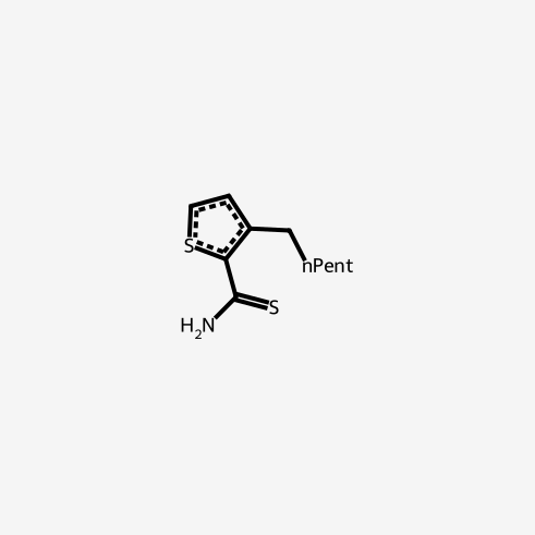 CCCCCCc1ccsc1C(N)=S